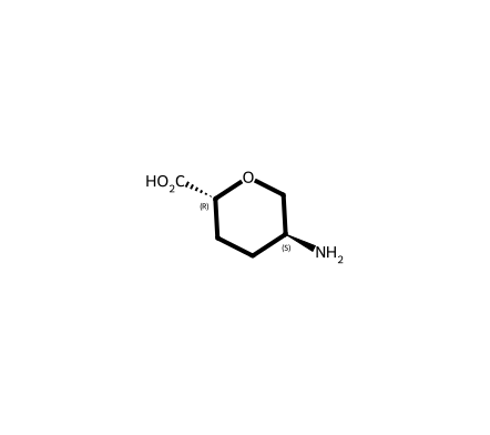 N[C@H]1CC[C@H](C(=O)O)OC1